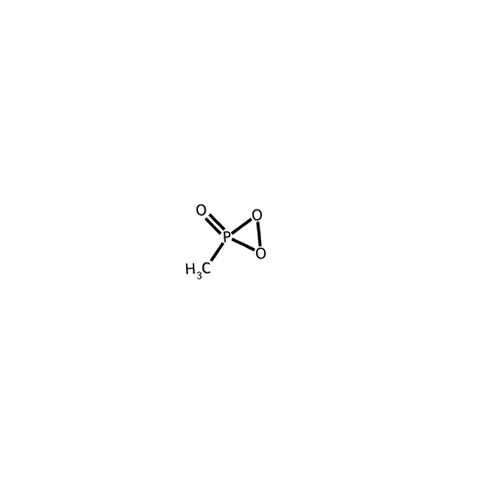 CP1(=O)OO1